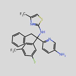 Nc1ccc(C(Cc2ccccc2)(Nc2nc(C(F)(F)F)cs2)c2cc(F)cc(C(F)(F)F)c2)nc1